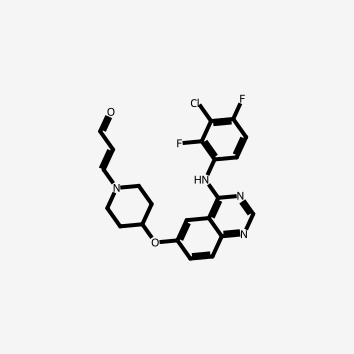 O=CC=CN1CCC(Oc2ccc3ncnc(Nc4ccc(F)c(Cl)c4F)c3c2)CC1